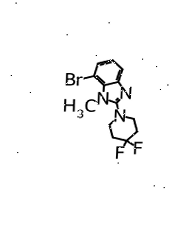 Cn1c(N2CCC(F)(F)CC2)nc2cccc(Br)c21